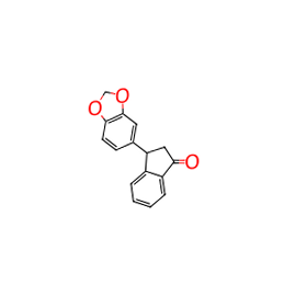 O=C1CC(c2ccc3c(c2)OCO3)c2ccccc21